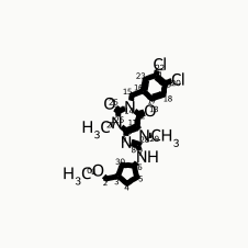 COCC1CCC(Nc2nc3c(c(=O)n(Cc4ccc(Cl)c(Cl)c4)c(=O)n3C)n2C)C1